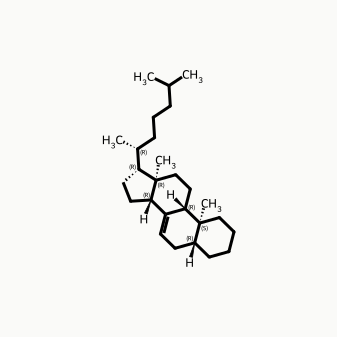 CC(C)CCC[C@@H](C)[C@H]1CC[C@H]2C3=CC[C@H]4CCCC[C@]4(C)[C@H]3CC[C@]12C